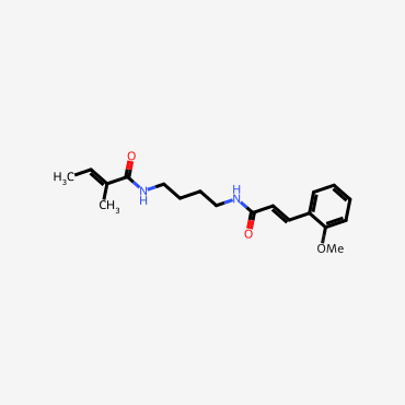 C/C=C(\C)C(=O)NCCCCNC(=O)/C=C/c1ccccc1OC